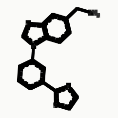 NCc1ccc2c(c1)ncn2-c1cccc(-c2nccs2)c1